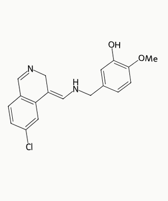 COc1ccc(CNC=C2CN=Cc3ccc(Cl)cc32)cc1O